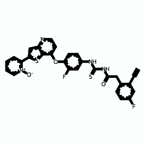 C#Cc1cc(F)ccc1CC(=O)NC(=S)Nc1ccc(Oc2ccnc3cc(-c4cccc[n+]4[O-])sc23)c(F)c1